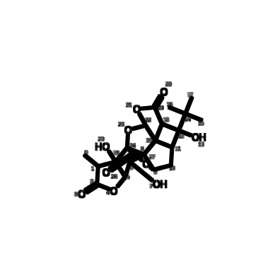 CC1C(=O)OC2C(O)C34C5CC6C(O)(C(C)(C)C)C7C(=O)OC(OC3(C(=O)O5)C12O)C674